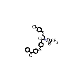 O=C(/C(CCSc1ccc(Cl)cc1)=N/OS(=O)C(F)(F)F)c1ccc(Sc2ccc(C(=O)c3ccccc3)cc2)cc1